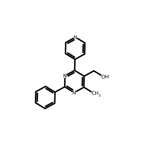 Cc1nc(-c2ccccc2)nc(-c2ccncc2)c1CO